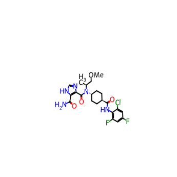 COC[C@H](C)N(C(=O)c1nc[nH]c1C(N)=O)[C@H]1CC[C@H](C(=O)Nc2c(F)cc(F)cc2Cl)CC1